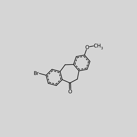 COc1ccc2c(c1)Cc1cc(Br)ccc1C(=O)C2